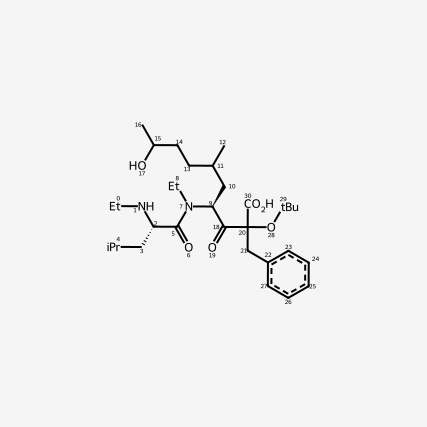 CCN[C@@H](CC(C)C)C(=O)N(CC)[C@@H](CC(C)CCC(C)O)C(=O)C(Cc1ccccc1)(OC(C)(C)C)C(=O)O